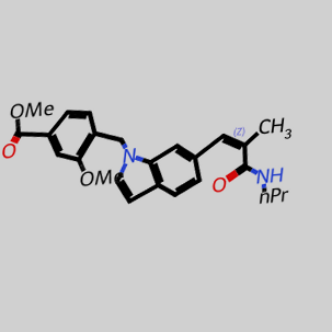 CCCNC(=O)/C(C)=C\c1ccc2ccn(Cc3ccc(C(=O)OC)cc3OC)c2c1